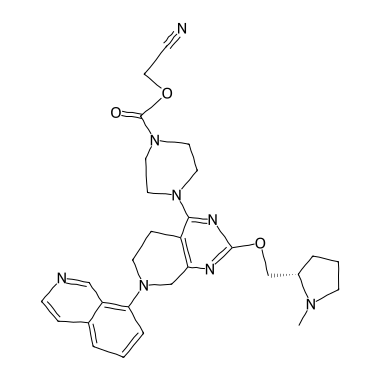 CN1CCC[C@H]1COc1nc2c(c(N3CCN(C(=O)OCC#N)CC3)n1)CCN(c1cccc3ccncc13)C2